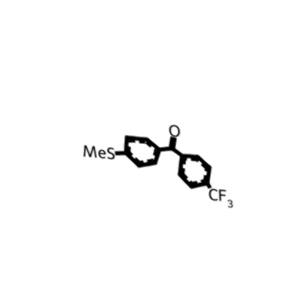 CSc1ccc(C(=O)c2ccc(C(F)(F)F)cc2)cc1